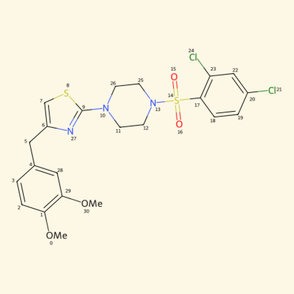 COc1ccc(Cc2csc(N3CCN(S(=O)(=O)c4ccc(Cl)cc4Cl)CC3)n2)cc1OC